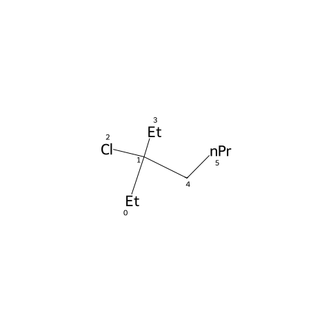 [CH2]CC(Cl)(CC)CCCC